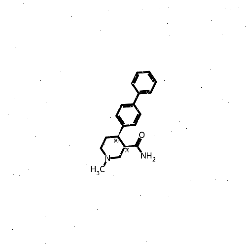 CN1CC[C@@H](c2ccc(-c3ccccc3)cc2)[C@@H](C(N)=O)C1